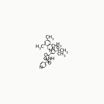 Cc1cc(C)c(Cn2nc(C(C)(C)C)cc2C(=O)NS(=O)(=O)c2ccncc2)c(C)c1